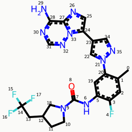 Cc1cc(F)c(NC(=O)N2CCC(CC(F)(F)F)C2)cc1-n1cc(-c2cnc3c(N)ncnn23)cn1